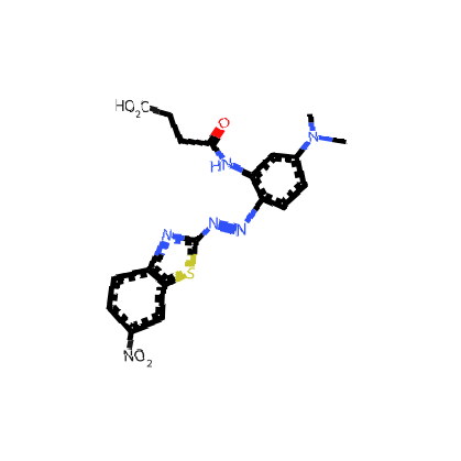 CN(C)c1ccc(N=Nc2nc3ccc([N+](=O)[O-])cc3s2)c(NC(=O)CCC(=O)O)c1